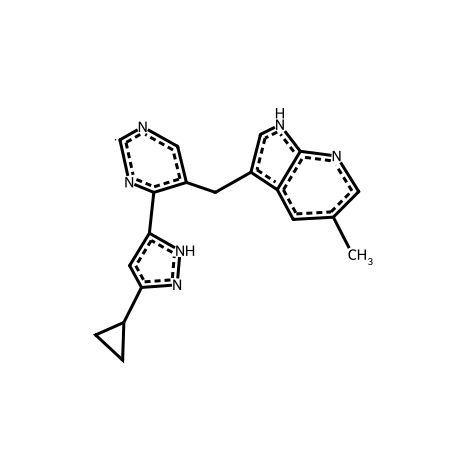 Cc1cnc2[nH]cc(Cc3cn[c]nc3-c3cc(C4CC4)n[nH]3)c2c1